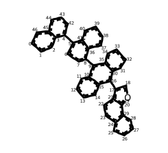 c1ccc2c(-c3ccc(-c4c5ccccc5c(-c5coc6c5ccc5ccccc56)c5ccccc45)c4ccccc34)cccc2c1